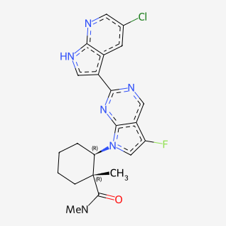 CNC(=O)[C@]1(C)CCCC[C@H]1n1cc(F)c2cnc(-c3c[nH]c4ncc(Cl)cc34)nc21